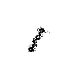 O=C(Cn1cc(C(F)(F)F)cc(F)c1=O)N1CCC(c2nc(C3=NOC(c4c(F)cccc4F)C3)cs2)CC1